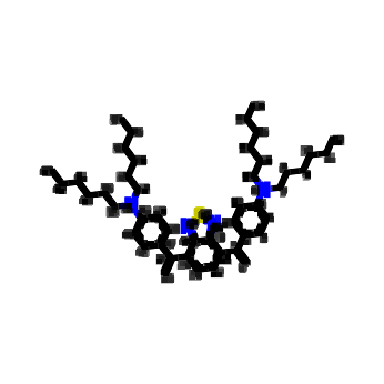 C=C(c1ccc(N(CCCCCC)CCCCCC)cc1)c1ccc(C(=C)c2ccc(N(CCCCCC)CCCCCC)cc2)c2nsnc12